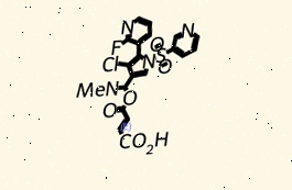 CNC(OC(=O)/C=C/C(=O)O)c1cn(S(=O)(=O)c2cccnc2)c(-c2cccnc2F)c1Cl